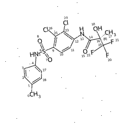 Cc1ccc(NS(=O)(=O)c2ccc(NC(=O)[C@@](C)(O)C(F)(F)F)c(Cl)c2Cl)cc1